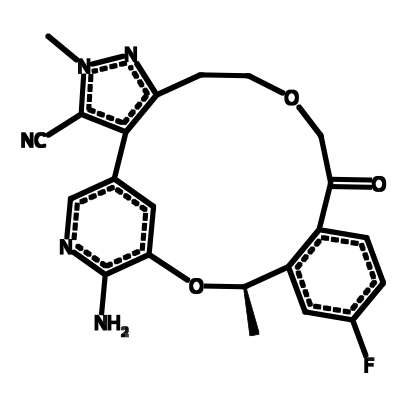 C[C@H]1Oc2cc(cnc2N)-c2c(nn(C)c2C#N)CCOCC(=O)c2ccc(F)cc21